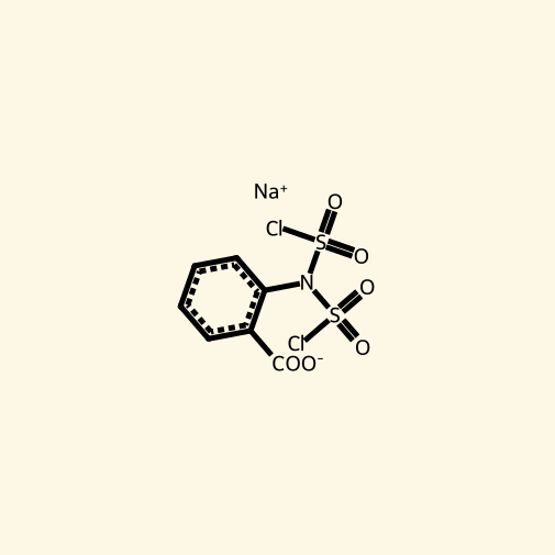 O=C([O-])c1ccccc1N(S(=O)(=O)Cl)S(=O)(=O)Cl.[Na+]